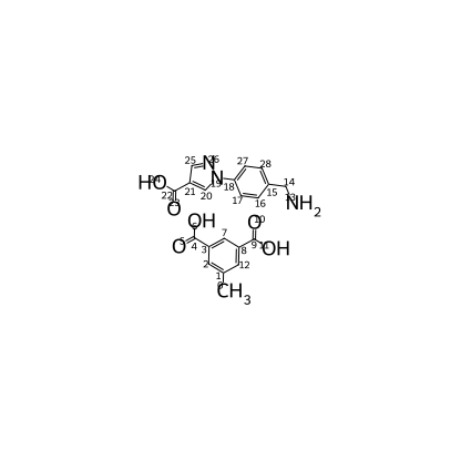 Cc1cc(C(=O)O)cc(C(=O)O)c1.NCc1ccc(-n2cc(C(=O)O)cn2)cc1